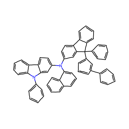 c1ccc(-c2cccc(C3(c4ccccc4)c4ccccc4-c4ccc(N(c5ccc6c7ccccc7n(-c7ccccc7)c6c5)c5cccc6ccccc56)cc43)c2)cc1